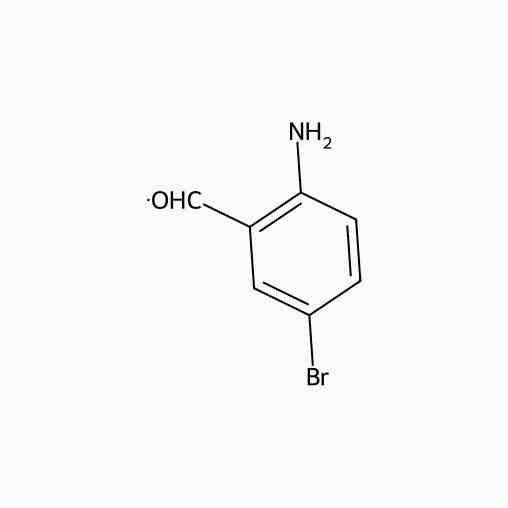 Nc1ccc(Br)cc1[C]=O